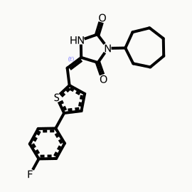 O=C1N/C(=C/c2ccc(-c3ccc(F)cc3)s2)C(=O)N1C1CCCCCC1